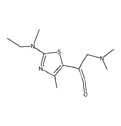 CCN(C)c1nc(C)c(C(=C=O)CN(C)C)s1